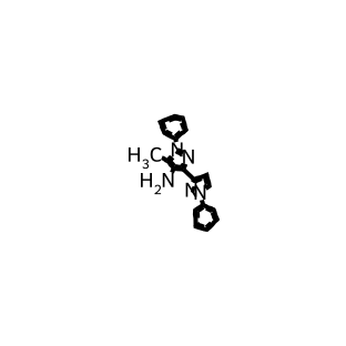 Cc1c(N)c(-c2ccn(-c3ccccc3)n2)nn1-c1ccccc1